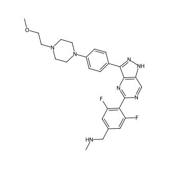 CNCc1cc(F)c(-c2ncc3[nH]nc(-c4ccc(N5CCN(CCOC)CC5)cc4)c3n2)c(F)c1